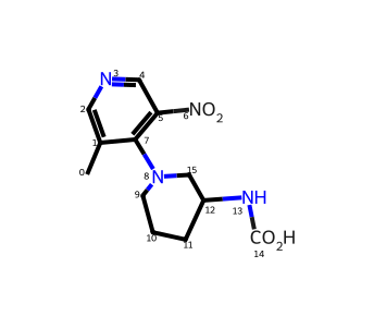 Cc1cncc([N+](=O)[O-])c1N1CCCC(NC(=O)O)C1